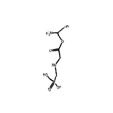 CCCC(N)OC(=O)CNCP(=O)(O)O